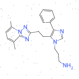 Cc1ccc(C)n2nc(CCc3c(-c4ccccc4)ncn3CCCN)nc12